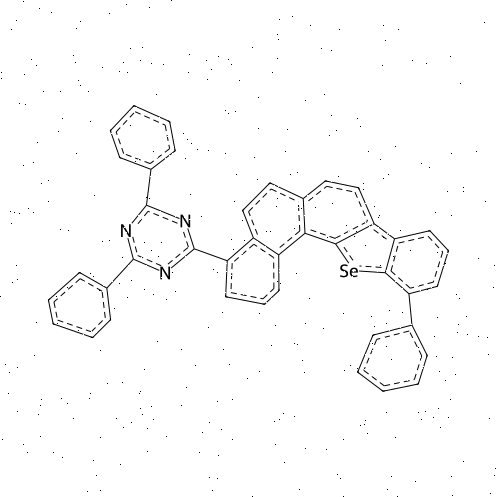 c1ccc(-c2nc(-c3ccccc3)nc(-c3cccc4c3ccc3ccc5c6cccc(-c7ccccc7)c6[se]c5c34)n2)cc1